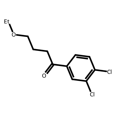 CCOCCCC(=O)c1ccc(Cl)c(Cl)c1